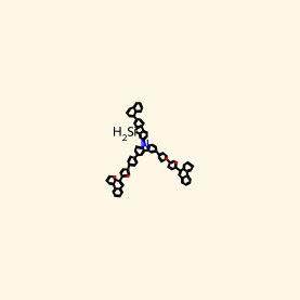 c1ccc2c(-c3ccc4c(c3)[SiH2]c3cc(-n5c6ccc(-c7ccc(-c8ccc(-c9cc%10ccccc%10c%10ccccc9%10)cc8)cc7)cc6c6cc(-c7ccc(-c8ccc(-c9cc%10ccccc%10c%10ccccc9%10)cc8)cc7)ccc65)ccc3-4)cccc2c1